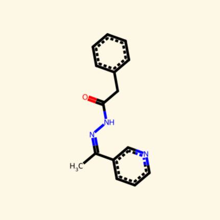 CC(=NNC(=O)Cc1ccccc1)c1cccnc1